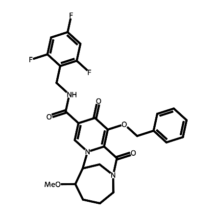 COC1CCCN2CC1n1cc(C(=O)NCc3c(F)cc(F)cc3F)c(=O)c(OCc3ccccc3)c1C2=O